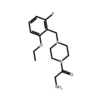 CCOc1cccc(F)c1CN1CCN(C(=O)CN)CC1